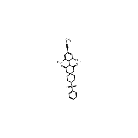 CC#CC1=CC(C)C(C2C(=O)CC3(CCN(S(=O)(=O)c4ccccc4)CC3)CC2=O)C(C)=C1